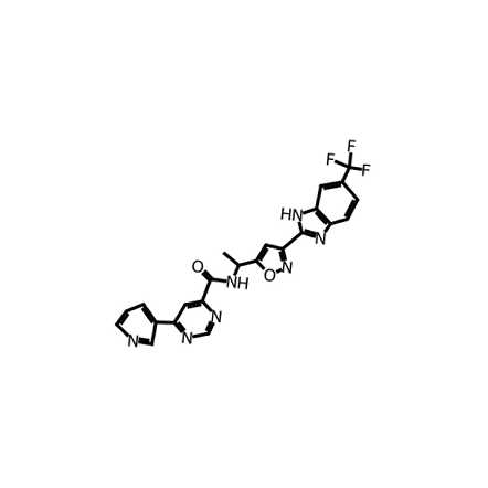 CC(NC(=O)c1cc(-c2cccnc2)ncn1)c1cc(-c2nc3ccc(C(F)(F)F)cc3[nH]2)no1